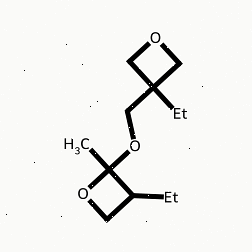 CCC1COC1(C)OCC1(CC)COC1